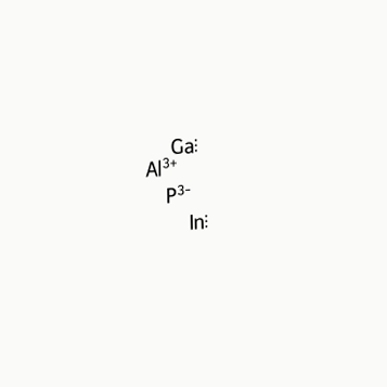 [Al+3].[Ga].[In].[P-3]